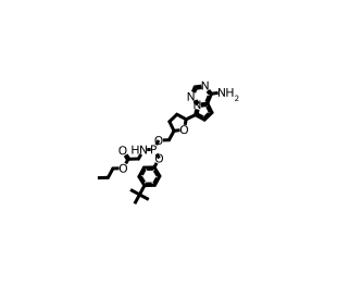 CCCOC(=O)CNP(OCC1CCC(c2ccc3c(N)ncnn23)O1)Oc1ccc(C(C)(C)C)cc1